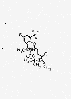 CCOC(=O)CCCOc1c([C@@H](C)NC(=O)OC(C)(C)C)cc(F)cc1C(F)(F)F